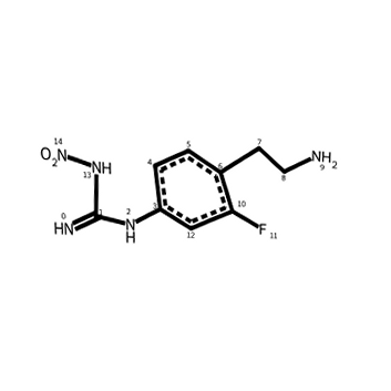 N=C(Nc1ccc(CCN)c(F)c1)N[N+](=O)[O-]